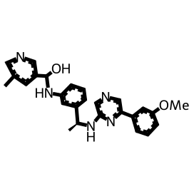 COc1cccc(-c2cncc(N[C@@H](C)c3cccc(NC(O)c4cncc(C)c4)c3)n2)c1